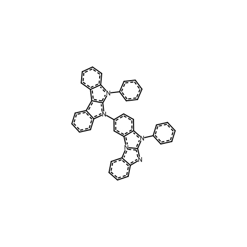 c1ccc(-n2c3ccccc3c3c4ccccc4n(-c4ccc5c(c4)n4c6ccccc6nc4n5-c4ccccc4)c32)cc1